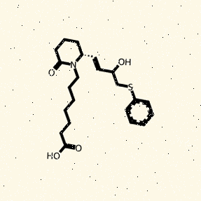 O=C(O)CCCCCCN1C(=O)CCC[C@@H]1/C=C/C(O)CSc1ccccc1